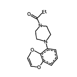 CCC(=O)N1CCN(c2cccc3c2OC=CO3)CC1